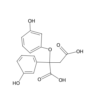 O=C(O)CC(Oc1cccc(O)c1)(C(=O)O)c1cccc(O)c1